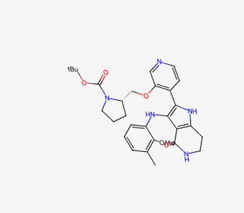 COc1c(C)cccc1Nc1c(-c2ccncc2OC[C@@H]2CCCN2C(=O)OC(C)(C)C)[nH]c2c1C(=O)NCC2